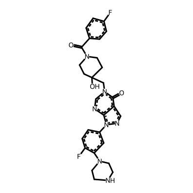 O=C(c1ccc(F)cc1)N1CCC(O)(Cn2cnc3c(cnn3-c3ccc(F)c(N4CCNCC4)c3)c2=O)CC1